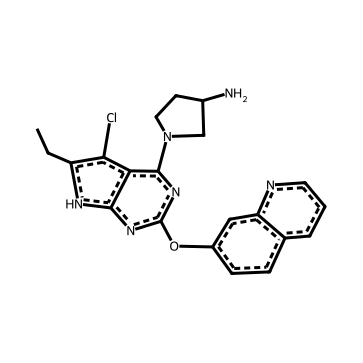 CCc1[nH]c2nc(Oc3ccc4cccnc4c3)nc(N3CCC(N)C3)c2c1Cl